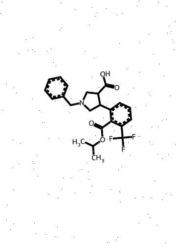 CC(C)OC(=O)c1c(C2CN(Cc3ccccc3)CC2C(=O)O)cccc1C(F)(F)F